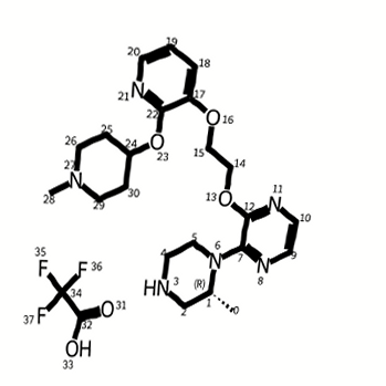 C[C@@H]1CNCCN1c1nccnc1OCCOc1cccnc1OC1CCN(C)CC1.O=C(O)C(F)(F)F